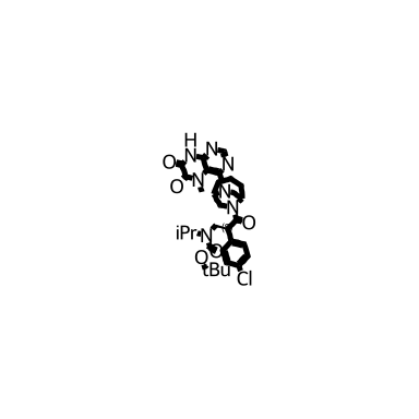 CC(C)N(C[C@@H](C(=O)N1CC2CCCC1CN2c1ncnc2[nH]c(=O)c(=O)n(C)c12)c1ccc(Cl)cc1)C(=O)OC(C)(C)C